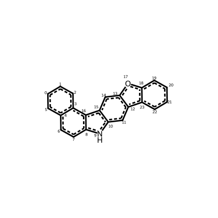 c1ccc2c(c1)ccc1[nH]c3cc4c(cc3c12)oc1ccccc14